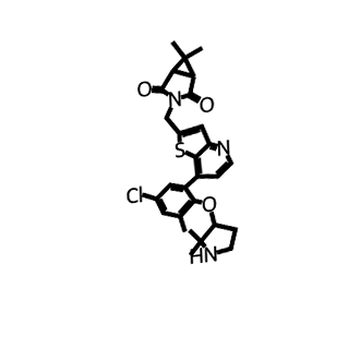 Cc1cc(Cl)cc(-c2ccnc3cc(CN4C(=O)C5C(C4=O)C5(C)C)sc23)c1OC1CCNC1(C)C